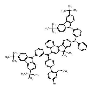 CCc1cc(Br)ccc1-c1ccc(N(c2cccc(-n3c4ccc(C(C)(C)C)cc4c4cc(C(C)(C)C)ccc43)c2)c2cc3c(c4ccccc24)-c2ccc(N(c4ccccc4)c4cccc(-n5c6ccc(C(C)(C)C)cc6c6cc(C(C)(C)C)ccc65)c4)cc2C3(C)C)cc1